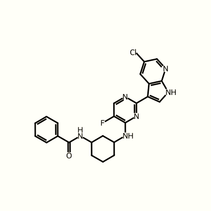 O=C(NC1CCCC(Nc2nc(-c3c[nH]c4ncc(Cl)cc34)ncc2F)C1)c1ccccc1